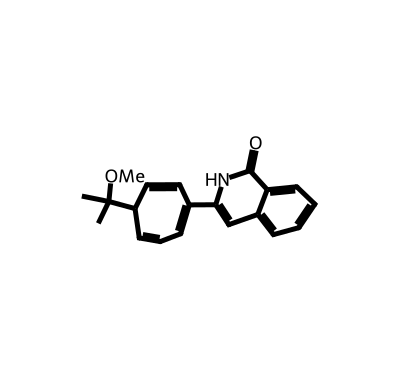 COC(C)(C)C1C=CC=C(c2cc3ccccc3c(=O)[nH]2)C=C1